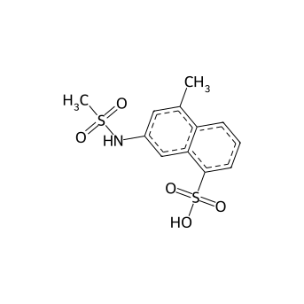 Cc1cc(NS(C)(=O)=O)cc2c(S(=O)(=O)O)cccc12